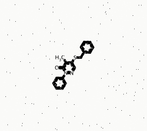 Cc1c(SCc2ccccc2)cnn(-c2ccccc2)c1=O